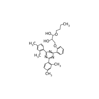 CCCCOC(O)C(O)COc1ccccc1-c1nc(-c2ccc(C)cc2C)nc(-c2ccc(C)cc2C)n1